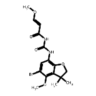 COC=CC(=O)NC(=O)Nc1cc(Br)c(OC)c2c1OCC2(C)C